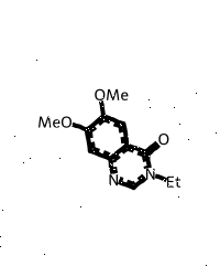 CCn1cnc2cc(OC)c(OC)cc2c1=O